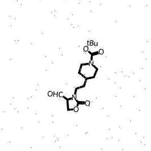 CC(C)(C)OC(=O)N1CCC(CCN2C(=O)OCC2C=O)CC1